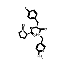 CCN1CCC[C@@H]1C(=O)N[C@@H](Cc1ccc(F)cc1)C(=O)NCc1ccc(N)nc1